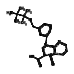 CC(C)(C)[Si](C)(C)OCc1cccc(-n2cc(C(=O)O)c(=O)c3cccnc32)c1